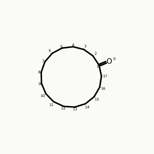 O=C1CCCCCCC[CH]CCCCCCCC1